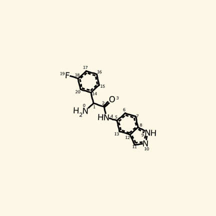 NC(C(=O)Nc1ccc2[nH]ncc2c1)c1cccc(F)c1